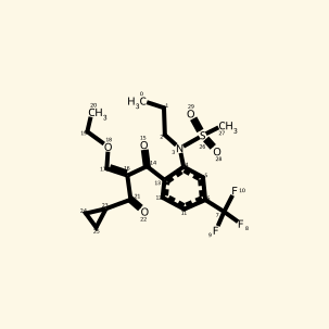 CCCN(c1cc(C(F)(F)F)ccc1C(=O)/C(=C\OCC)C(=O)C1CC1)S(C)(=O)=O